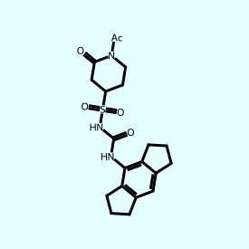 CC(=O)N1CCC(S(=O)(=O)NC(=O)Nc2c3c(cc4c2CCC4)CCC3)CC1=O